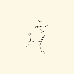 NC1C(=O)C1C(=O)O.O=P(O)(O)O